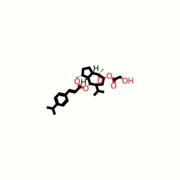 CC(C)c1ccc(/C=C/C(=O)O[C@H]2[C@@H]3[C@H](C)CC[C@H]3[C@]3(C)OC2(C(C)C)C[C@H]3OC(=O)CO)cc1